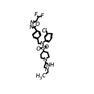 CCN1CC(N2CCC(S(=O)(=O)N(Cc3ccc(-c4nnc(C(F)F)o4)cc3)c3cccc(Cl)c3)CC2)N1